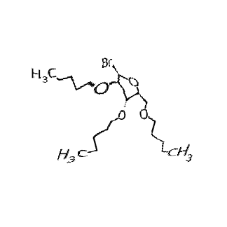 CCCCCOC[C@@H]1O[C@H](Br)[C@H](OCCCCC)[C@H]1OCCCCC